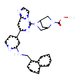 CC(C)(C)OC(=O)N1CC2CC1CN2c1nc(-c2ccnc(NCc3cccc4ccccc34)c2)cc2nccn12